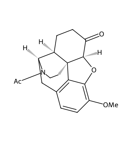 COc1ccc2c3c1O[C@@H]1C(=O)CC[C@@H]4[C@H](C2)N(C(C)=O)CC[C@@]314